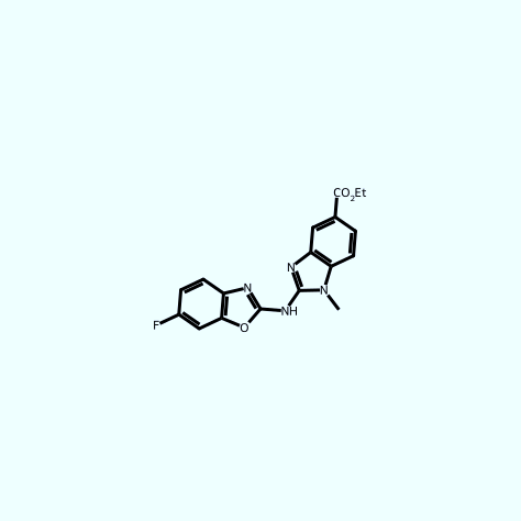 CCOC(=O)c1ccc2c(c1)nc(Nc1nc3ccc(F)cc3o1)n2C